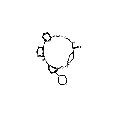 O=C1NCCCOc2cccc(c2)-c2ccnc(n2)Nc2ccc(N3CCOCC3)c(c2)CN2CCC1CC2